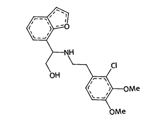 COc1ccc(CCNC(CO)c2cccc3ccoc23)c(Cl)c1OC